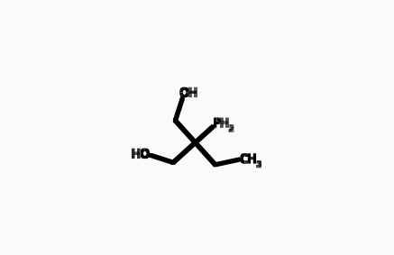 CCC(P)(CO)CO